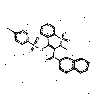 Cc1ccc(S(=O)(=O)OC2=C(C(=O)c3ccc4ccccc4c3)N(C)S(=O)(=O)c3ccccc32)cc1